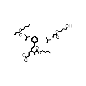 C=C(C(=O)OCCCC)C(C=CC(=O)O)C=Cc1ccccc1.C=C(C)C.C=C(C)C.C=CC(=O)OCCCC.C=CC(=O)OCCCO